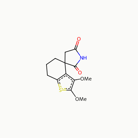 COc1sc2c(c1OC)C1(CCC2)CC(=O)NC1=O